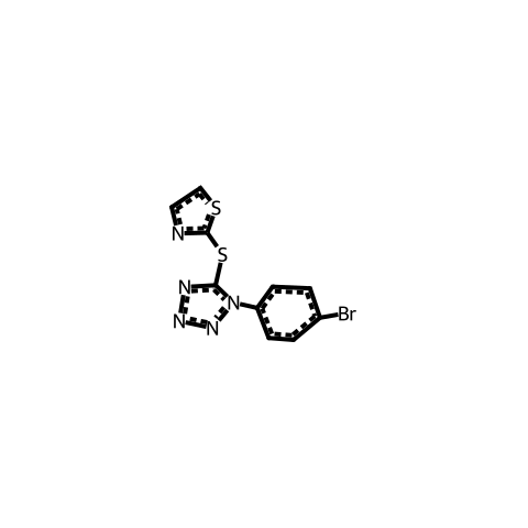 Brc1ccc(-n2nnnc2Sc2nccs2)cc1